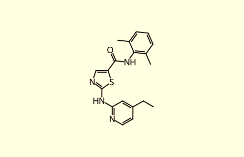 CCc1ccnc(Nc2ncc(C(=O)Nc3c(C)cccc3C)s2)c1